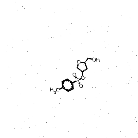 Cc1ccc(S(=O)(=O)OC2CO[C@@H](CO)C2)cc1